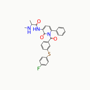 CNC(C)C(=O)Nc1ccc(-c2ccccc2)n(C(=O)c2cccc(Sc3ccc(F)cc3)c2)c1=O